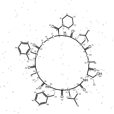 CC(C)C[C@H]1C(=O)N[C@H](C(=O)N2CCCCC2)CSCC(=O)N(C)[C@@H](Cc2ccccc2)C(=O)N(C)[C@@H](C)C(=O)N[C@@H](Cc2ccccc2)C(=O)N(C)[C@@H](CC(C)C)C(=O)N[C@@H]([C@@H](C)O)C(=O)N(C)CC(=O)N1C